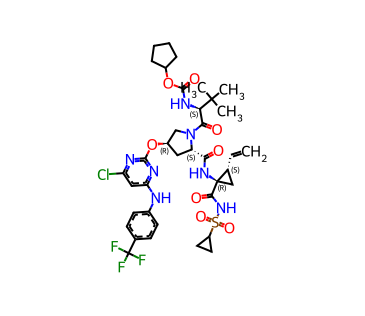 C=C[C@@H]1C[C@]1(NC(=O)[C@@H]1C[C@@H](Oc2nc(Cl)cc(Nc3ccc(C(F)(F)F)cc3)n2)CN1C(=O)[C@@H](NC(=O)OC1CCCC1)C(C)(C)C)C(=O)NS(=O)(=O)C1CC1